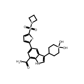 NC(=O)c1cc(-c2ccc(S(=O)(=O)N3CCC3)s2)cc2c(C3CCS(O)(O)CC3)c[nH]c12